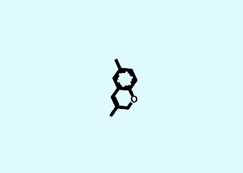 CC1=Cc2cc(C)ccc2OC1